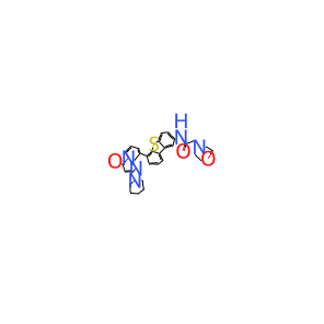 O=C(CN1CCOCC1)Nc1ccc2sc3c(-c4cccn5c(=O)cc(N6CCCCC6)nc45)cccc3c2c1